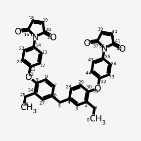 CCc1cc(Cc2ccc(Oc3ccc(N4C(=O)C=CC4=O)cc3)c(CC)c2)ccc1Oc1ccc(N2C(=O)C=CC2=O)cc1